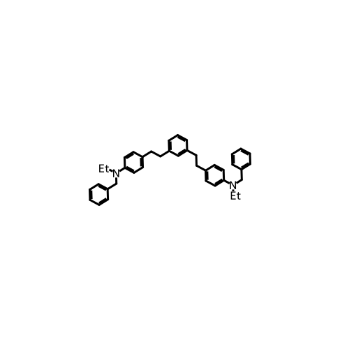 CCN(Cc1ccccc1)c1ccc(CCc2cccc(CCc3ccc(N(CC)Cc4ccccc4)cc3)c2)cc1